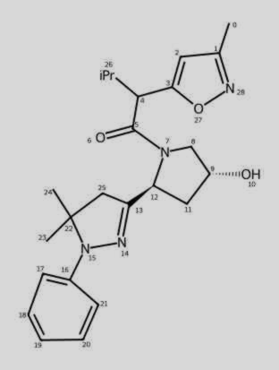 Cc1cc(C(C(=O)N2C[C@H](O)C[C@H]2C2=NN(c3ccccc3)C(C)(C)C2)C(C)C)on1